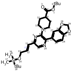 CC(C)(C)OC(=O)C1CCN(c2nc(/C=C/CO[Si](C)(C)C(C)(C)C)cnc2-c2ccc3c(c2)OCO3)CC1